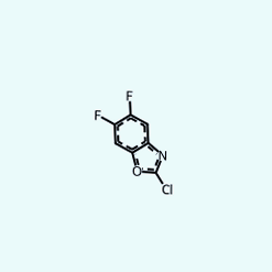 Fc1cc2nc(Cl)oc2cc1F